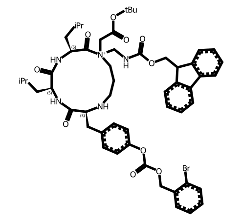 CC(C)C[C@@H]1NC(=O)[C@H](Cc2ccc(OC(=O)OCc3ccccc3Br)cc2)NCCC[N+](CNC(=O)OCC2c3ccccc3-c3ccccc32)(CC(=O)OC(C)(C)C)C(=O)[C@H](CC(C)C)NC1=O